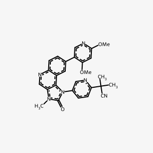 COc1cc(OC)c(-c2ccc3ncc4c(c3c2)n(-c2ccc(C(C)(C)C#N)nc2)c(=O)n4C)cn1